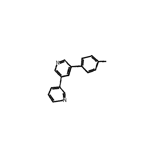 Cc1ccc(-c2cncc(-c3cccnc3)c2)cc1